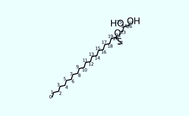 CCCCCCCCCCCCCCCCCCCCC(=S)OCC(O)CO